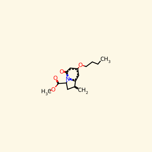 C=C1CC(C(=O)OC)n2c1cc(OCCCC)cc2=O